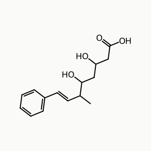 CC(C=Cc1ccccc1)C(O)CC(O)CC(=O)O